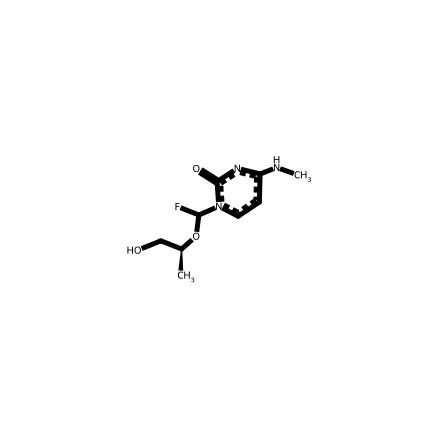 CNc1ccn(C(F)O[C@@H](C)CO)c(=O)n1